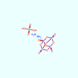 N.N.O=P12OP3(=O)OP(=O)(O1)OP(=O)(O2)O3.O=S(=O)(O)O